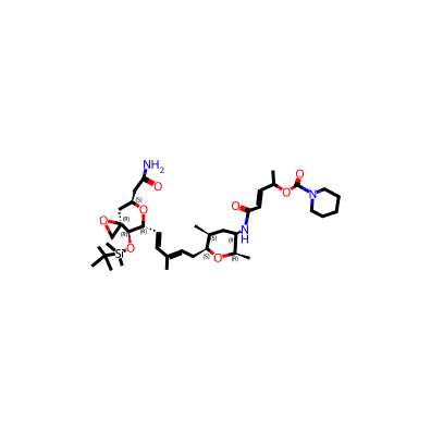 CC(C=C[C@H]1O[C@H](CC(N)=O)C[C@@]2(CO2)[C@@H]1O[Si](C)(C)C(C)(C)C)=CC[C@@H]1O[C@H](C)[C@H](NC(=O)C=CC(C)OC(=O)N2CCCCC2)C[C@@H]1C